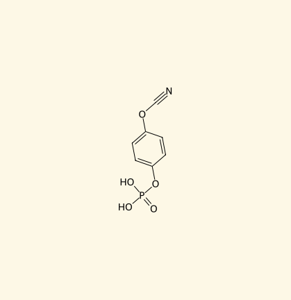 N#COc1ccc(OP(=O)(O)O)cc1